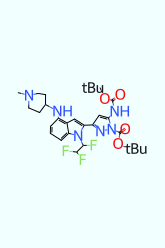 CN1CCC(Nc2cccc3c2cc(-c2cc(NC(=O)OC(C)(C)C)n(C(=O)OC(C)(C)C)n2)n3C(F)C(F)F)CC1